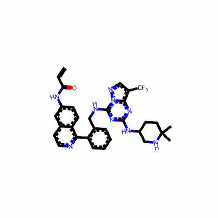 C=CC(=O)Nc1ccc2c(-c3ccccc3CNc3nc(NC4CCC(C)(C)NC4)nc4c(C(F)(F)F)cnn34)nccc2c1